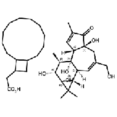 CC1=C[C@H]2[C@]3(O)[C@H](C)[C@@H](O)[C@@]4(O)[C@H]([C@@H]3C=C(CO)C[C@@]2(O)C1=O)C4(C)C.O=C(O)CC1CC2CCCCCCCCCCC21